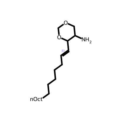 CCCCCCCCCCCCC/C=C/C1OCOCC1N